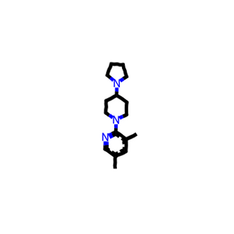 Cc1cnc(N2CCC(N3CCCC3)CC2)c(C)c1